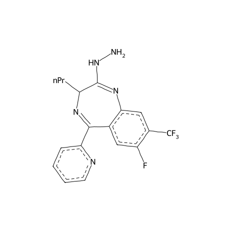 CCCC1N=C(c2ccccn2)c2cc(F)c(C(F)(F)F)cc2N=C1NN